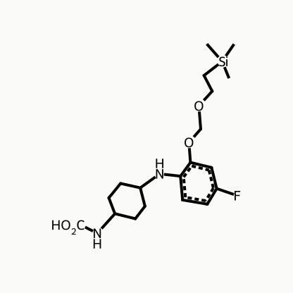 C[Si](C)(C)CCOCOc1cc(F)ccc1NC1CCC(NC(=O)O)CC1